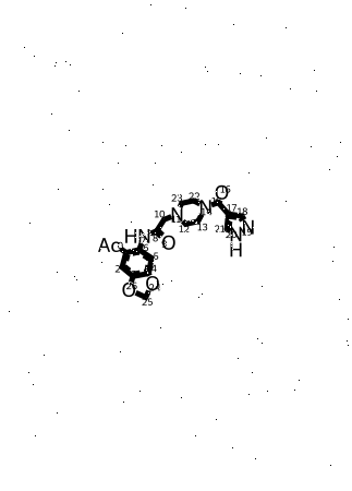 CC(=O)c1cc2c(cc1NC(=O)CN1CCN(C(=O)c3cn[nH]c3)CC1)OCO2